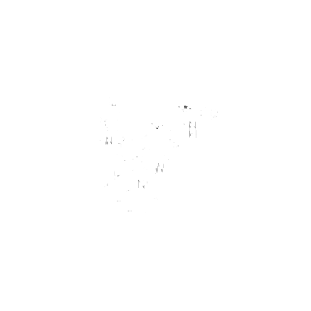 C[C@H]1CC[C@H](Cn2c(N3CCCC34CCOC4)nc3cc(-c4noc(=O)[nH]4)nc(-c4cncc(Cl)c4)c32)CC1